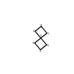 [CH]1CC2(C1)CCC2